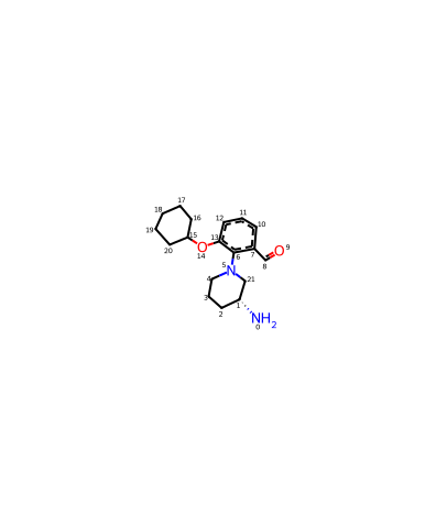 N[C@@H]1CCCN(c2c(C=O)cccc2OC2CCCCC2)C1